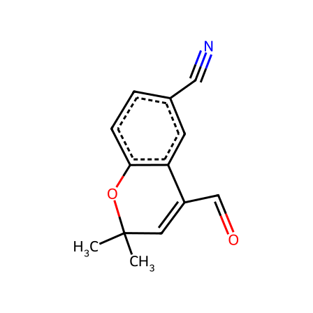 CC1(C)C=C(C=O)c2cc(C#N)ccc2O1